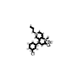 C=CC[n+]1ccc2c(c1)c(-c1cccc(Cl)c1)cc(=O)n2C.[Br-]